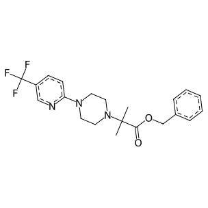 CC(C)(C(=O)OCc1ccccc1)N1CCN(c2ccc(C(F)(F)F)cn2)CC1